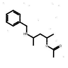 CC(=O)OC(C)CC(C)NCc1ccccc1